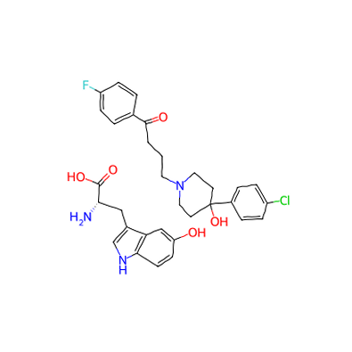 N[C@@H](Cc1c[nH]c2ccc(O)cc12)C(=O)O.O=C(CCCN1CCC(O)(c2ccc(Cl)cc2)CC1)c1ccc(F)cc1